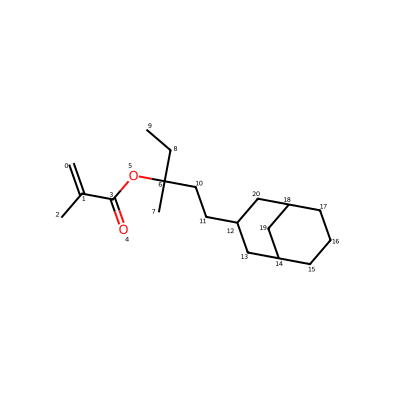 C=C(C)C(=O)OC(C)(CC)CCC1CC2CCCC(C2)C1